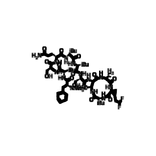 CC[C@H](C)[C@H](NC(=O)[C@@H](Cc1ccccc1)NC)C(=O)N[C@@H](CO)C(=O)N[C@H](CCC(N)=O)C(=O)N[C@@H](C(=O)N[C@H](C(=O)N[C@@H](CO)C(=O)N[C@H]1C(=O)N[C@@H](C)C(=O)NC2(CC2CC(F)F)C(=O)N[C@@H]([C@@H](C)CC)C(=O)N[C@H]1C)[C@@H](C)CC)[C@@H](C)CC